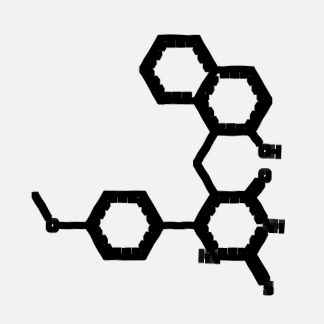 COc1ccc(-c2[nH]c(=S)[nH]c(=O)c2Cc2c(O)ccc3ccccc23)cc1